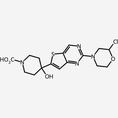 O=C(O)N1CCC(O)(c2cc3nc(N4CCOC(Cl)C4)ncc3s2)CC1